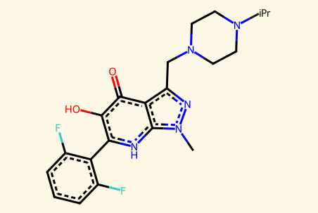 CC(C)N1CCN(Cc2nn(C)c3[nH]c(-c4c(F)cccc4F)c(O)c(=O)c23)CC1